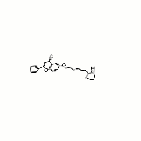 O=c1cc(-c2ccccc2)oc2ccc(OCCCCCCC3CCCCN3)cc12